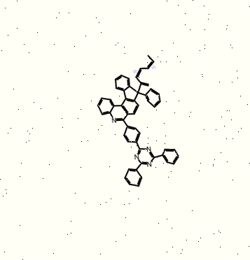 C=C(/C=C\C=C/C)C1(c2ccccc2)c2ccccc2-c2c1ccc1c(-c3ccc(-c4nc(-c5ccccc5)nc(-c5ccccc5)n4)cc3)nc3ccccc3c21